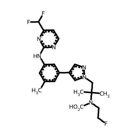 Cc1cc(Nc2nccc(C(F)F)n2)cc(-c2cnn(CC(C)(C)N(CCF)C(=O)O)c2)c1